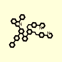 c1ccc(-c2ccc(-c3cc(-c4cc5ccccc5c(-c5ccccc5)n4)ccc3-c3ccccc3-c3cc(CCc4ccc(-c5ccccn5)cc4)cc(CCc4ccc(-c5ccccn5)cc4)c3)cc2)cc1